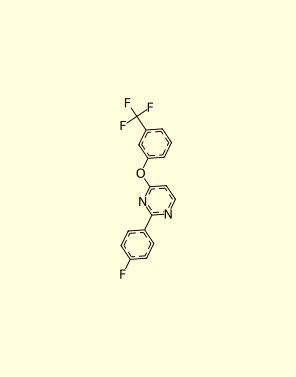 Fc1ccc(-c2nccc(Oc3cccc(C(F)(F)F)c3)n2)cc1